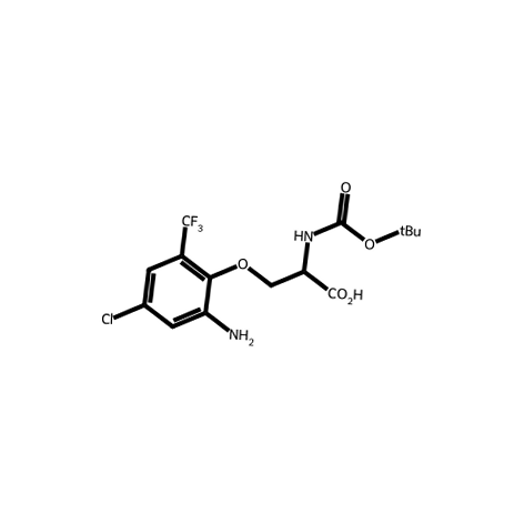 CC(C)(C)OC(=O)NC(COc1c(N)cc(Cl)cc1C(F)(F)F)C(=O)O